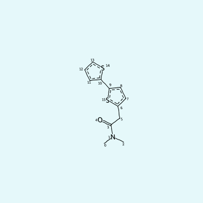 CN(C)C(=O)Cc1ccc(-c2cccs2)s1